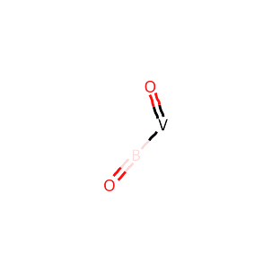 O=[B][V]=[O]